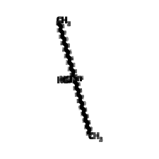 CCCCCCCCCCCCCCCCC[CH2][Sn][CH2]CCCCCCCCCCCCCCCCC.Cl.Cl